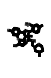 CCc1ccc(C2C(c3ccc(F)cc3F)=NN(c3ccc(C)cc3P)C2(C)C(=O)NC[C@@H]2CN(C)CCO2)o1